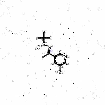 C/C(=N\[S+]([O-])C(C)(C)C)c1cncc(Br)c1